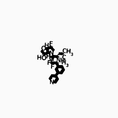 CC(C)C[C@H](N[C@@H](c1cccc(-c2ccncc2)c1)C(F)(F)F)C(=O)N1C[C@H](F)[C@H]2OC[C@H](O)[C@H]21